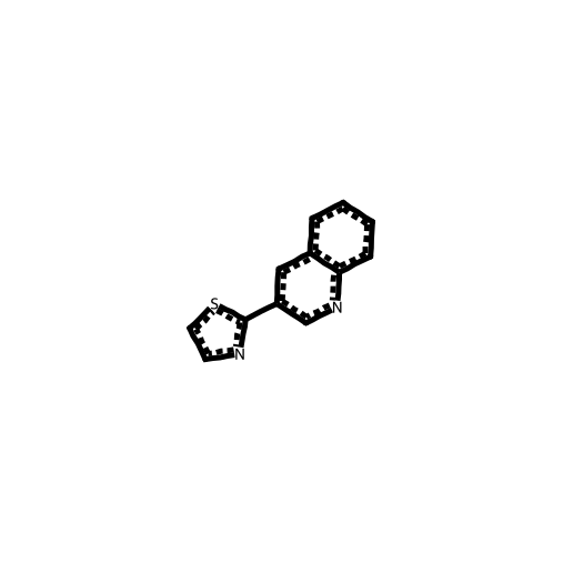 c1ccc2ncc(-c3nccs3)cc2c1